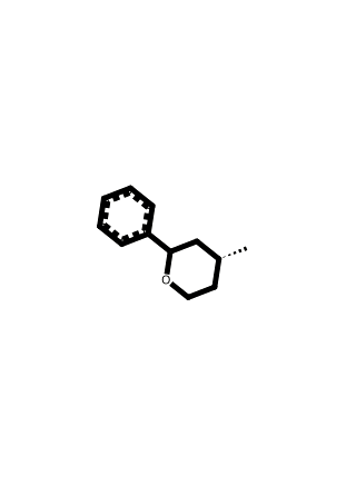 C[C@@H]1CCOC(c2ccccc2)C1